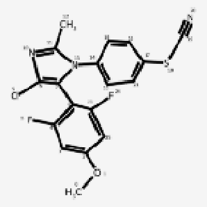 COc1cc(F)c(-c2c(Cl)nc(C)n2-c2ccc(SC#N)cc2)c(F)c1